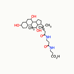 C[C@H](CCC(=O)NCCC(=O)NCCC(=O)O)C1CCC2C3C(O)CC4CC(O)CC[C@]4(C)C3CC(O)[C@@]21C